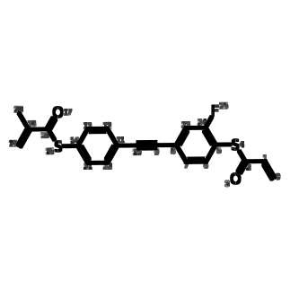 C=CC(=O)Sc1ccc(C#Cc2ccc(SC(=O)C(=C)C)cc2)cc1F